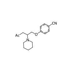 CC(=O)CC(COc1ccc(C#N)cc1)N1CCCCC1